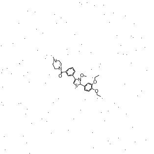 CCOc1ccc(C2SC=C(c3cccc(C(=O)N4CCN(C)CC4)c3)N2OC)cc1OCC